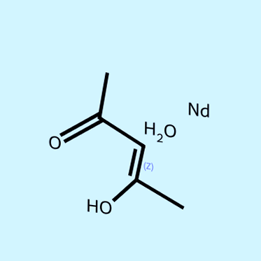 CC(=O)/C=C(/C)O.O.[Nd]